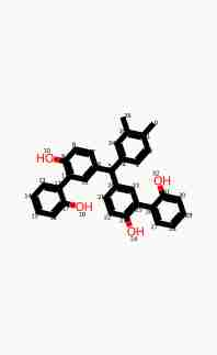 Cc1ccc(C(c2ccc(O)c(-c3ccccc3O)c2)c2ccc(O)c(-c3ccccc3O)c2)cc1C